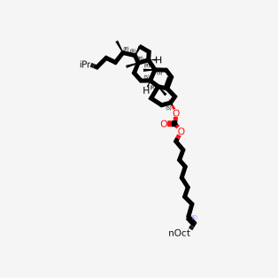 CCCCCCCC/C=C/CCCCCCCCOC(=O)O[C@H]1CC[C@@]2(C)C(=CC[C@@]3(C)[C@@H]4CC[C@H]([C@H](C)CCCC(C)C)[C@@]4(C)CC[C@@H]32)C1